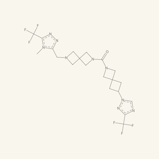 Cn1c(CN2CC3(C2)CN(C(=O)N2CC4(CC(n5cnc(C(F)(F)F)n5)C4)C2)C3)nnc1C(F)(F)F